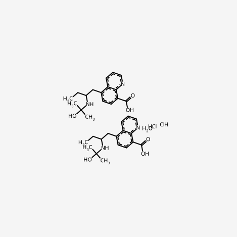 CCC(Cc1ccc(C(=O)O)c2ncccc12)NC(C)(C)O.CCC(Cc1ccc(C(=O)O)c2ncccc12)NC(C)(C)O.Cl.Cl.O